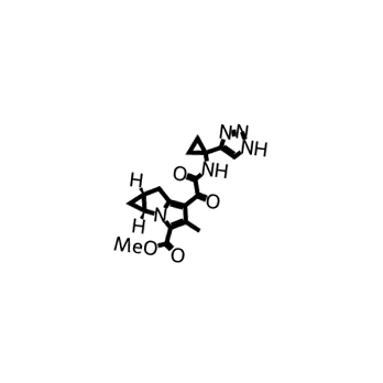 COC(=O)c1c(C)c(C(=O)C(=O)NC2(c3c[nH]nn3)CC2)c2n1[C@@H]1C[C@@H]1C2